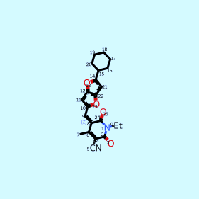 CCN1C(=O)C(C#N)=C(C)/C(=C/c2cc3oc(C4CCCCC4)cc3o2)C1=O